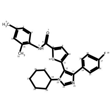 Cc1ccc(NC(=O)c2ccc(-c3c(-c4ccc(F)cc4)ncn3C3CCCCC3)o2)c(C)c1